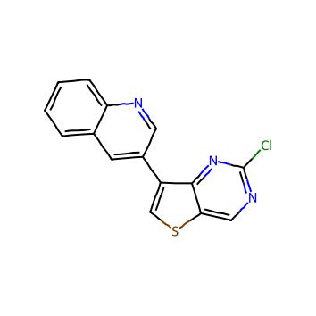 Clc1ncc2scc(-c3cnc4ccccc4c3)c2n1